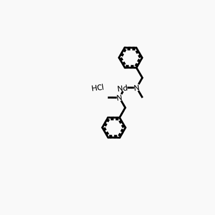 C[N](Cc1ccccc1)[Nd][N](C)Cc1ccccc1.Cl